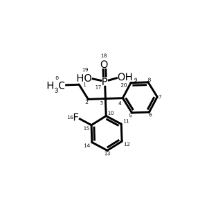 CCCC(c1ccccc1)(c1ccccc1F)P(=O)(O)O